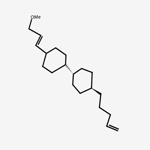 C=CCCC[C@H]1CC[C@H](C2CCC(/C=C/COC)CC2)CC1